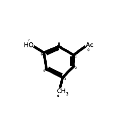 CC(=O)c1cc(C)cc(O)c1